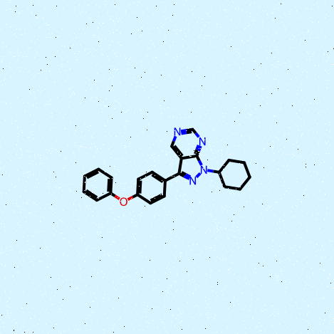 c1ccc(Oc2ccc(-c3nn(C4CCCCC4)c4ncncc34)cc2)cc1